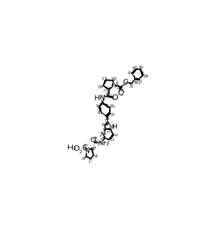 O=C(Nc1ccc(-c2cc3nc(NC(=O)[C@@H]4CCCN4C(=O)O)ccc3[nH]2)cc1)C1CCCN1C(=O)OCc1ccccc1